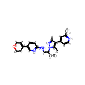 Cc1nn(C(C=O)CNc2ccc(C3=CCOCC3)cn2)c(C)c1-c1ccnc(C(F)(F)F)c1